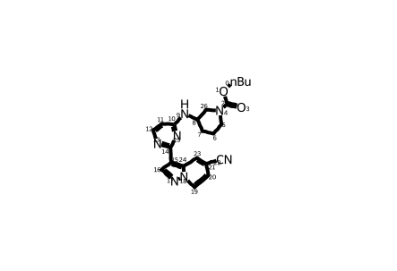 CCCCOC(=O)N1CCCC(Nc2ccnc(-c3cnn4ccc(C#N)cc34)n2)C1